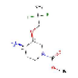 CC(F)(F)CO[C@H]1CN(C(=O)OC(C)(C)C)CC[C@H]1N